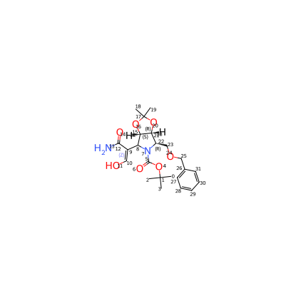 CC(C)(C)OC(=O)N1C(/C(=C/O)C(N)=O)[C@@H]2OC(C)(C)O[C@@H]2[C@H]1COCc1ccccc1